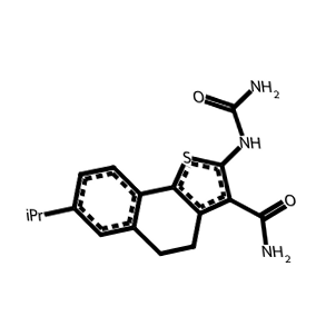 CC(C)c1ccc2c(c1)CCc1c-2sc(NC(N)=O)c1C(N)=O